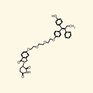 CC/C(=C(\c1ccc(O)cc1)c1ccc(OCCOCCOCCOc2ccc3c(c2)CN(C2CCC(=O)NC2=O)C3=O)cc1)c1ccccc1